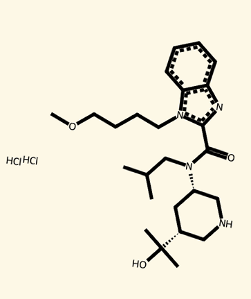 COCCCCn1c(C(=O)N(CC(C)C)[C@@H]2CNC[C@H](C(C)(C)O)C2)nc2ccccc21.Cl.Cl